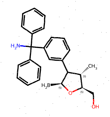 B[C@@H]1O[C@H](CO)[C@@H](C)C1c1cccc(C(N)(c2ccccc2)c2ccccc2)c1